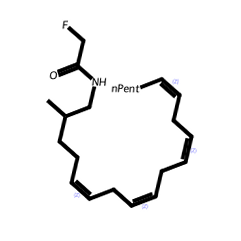 CCCCC/C=C\C/C=C\C/C=C\C/C=C\CCC(C)CNC(=O)CF